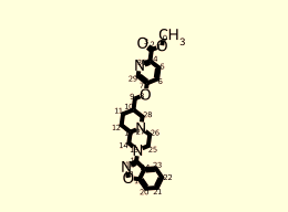 COC(=O)c1ccc(OCC2CCC3CN(c4noc5ccccc45)CCN3C2)cn1